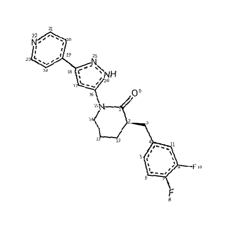 O=C1[C@@H](Cc2ccc(F)c(F)c2)CCCN1c1cc(-c2ccncc2)n[nH]1